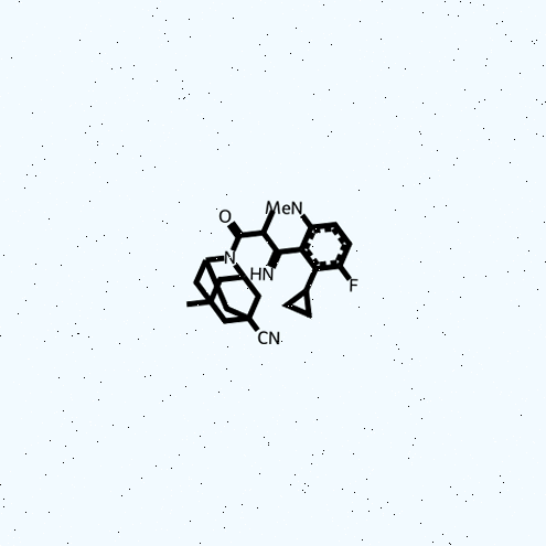 CNc1ccc(F)c(C2CC2)c1C(=N)C(C)C(=O)N1C2CC3(C)CC1CC(C#N)(C2)C3